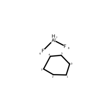 [CH]1CCCCC1.[F][AlH][F]